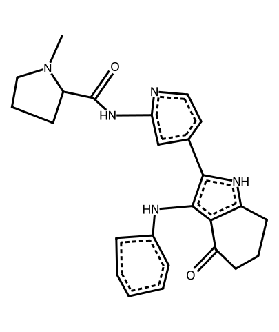 CN1CCCC1C(=O)Nc1cc(-c2[nH]c3c(c2Nc2ccccc2)C(=O)CCC3)ccn1